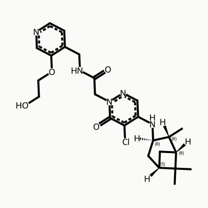 C[C@@H]1[C@H]2C[C@@H](C[C@H]1Nc1cnn(CC(=O)NCc3ccncc3OCCO)c(=O)c1Cl)C2(C)C